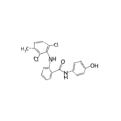 Cc1ccc(Cl)c(Nc2ccccc2C(=O)Nc2ccc(O)cc2)c1Cl